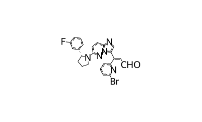 O=C/C=C(\c1cccc(Br)n1)c1cnc2ccc(N3CCC[C@@H]3c3cccc(F)c3)nn12